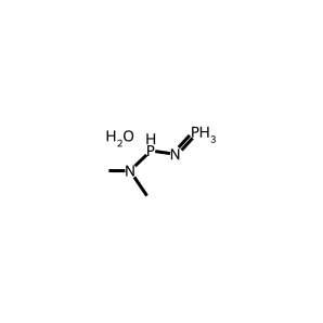 CN(C)PN=[PH3].O